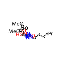 COc1ccc(C(OC[C@H]2O[C@@H](n3cnc4c(NC(=O)CC(C)CCCC(C)CCCC(C)CCCC(C)C)ncnc43)C[C@@H]2O)(c2ccccc2)c2ccc(OC)cc2)cc1